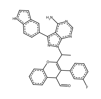 CC(C1=C(c2cccc(F)c2)C(C=O)c2ccccc2O1)n1nc(-c2ccc3[nH]ccc3c2)c2c(N)ncnc21